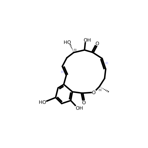 C[C@H]1C/C=C\C(=O)C(O)[C@@H](O)C/C=C/c2cc(O)cc(O)c2C(=O)O1